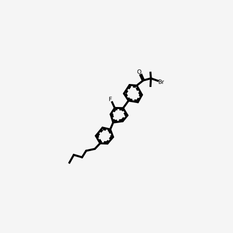 CCCCCc1ccc(-c2ccc(-c3ccc(C(=O)C(C)(C)Br)cc3)c(F)c2)cc1